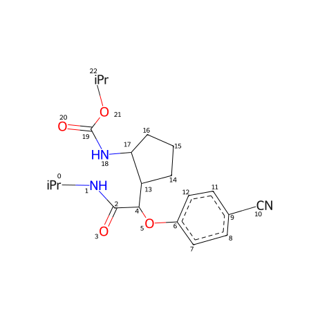 CC(C)NC(=O)C(Oc1ccc(C#N)cc1)C1CCCC1NC(=O)OC(C)C